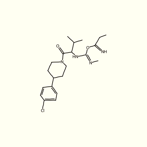 CCC(=N)O/C(=N\C)NC(C(=O)N1CCC(c2ccc(Cl)cc2)CC1)C(C)C